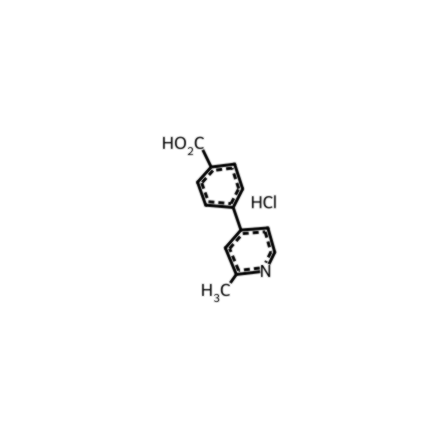 Cc1cc(-c2ccc(C(=O)O)cc2)ccn1.Cl